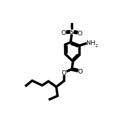 CCCCC(CC)COC(=O)c1ccc(S(C)(=O)=O)c(N)c1